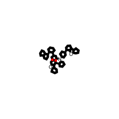 c1cc(-c2ccccc2-c2cccc3ccccc23)cc(N(c2ccc(-c3cccc4c3oc3ccccc34)cc2)c2ccccc2-c2cccc3oc4ccccc4c23)c1